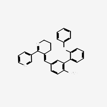 COc1ccc(C=C2CCCN=C2c2cccnc2)cc1-c1ccccc1Oc1ccccc1